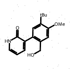 COc1cc(CO)c(-c2ccc[nH]c2=O)cc1C(C)(C)C